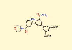 COc1cc(OC)cc(-c2cc(C(N)=O)c3[nH]c4ccc(C(=O)N5CCOCC5)cc4c3c2)c1